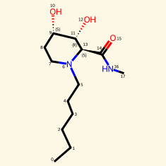 CCCCCCN1CC[C@H](O)[C@H](O)[C@H]1C(=O)NC